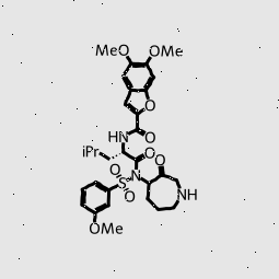 COc1cccc(S(=O)(=O)N(C(=O)[C@H](CC(C)C)NC(=O)c2cc3cc(OC)c(OC)cc3o2)C2CCCNCC2=O)c1